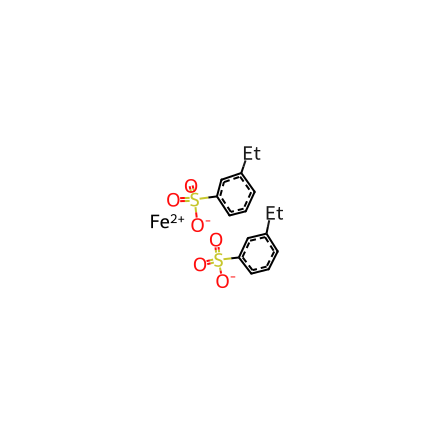 CCc1cccc(S(=O)(=O)[O-])c1.CCc1cccc(S(=O)(=O)[O-])c1.[Fe+2]